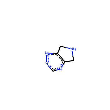 c1nnc2c(n1)CNC2